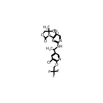 CC(Nc1ncc(F)c(N2C(=O)OCC2(C)C)n1)c1cnc(OCC(F)(F)F)c(Cl)c1